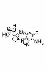 CCc1cc(F)c(N)c2ncn(-c3ccc(P(=O)(O)O)o3)c12